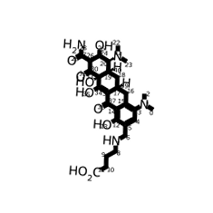 CN(C)c1cc(CNCCCC(=O)O)c(O)c2c1C[C@H]1C[C@H]3[C@H](N(C)C)C(O)C(C(N)=O)C(=O)[C@@]3(O)C(O)=C1C2=O